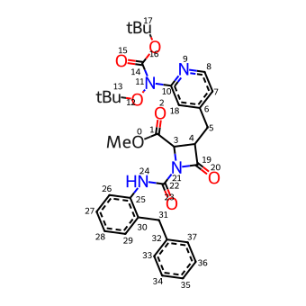 COC(=O)C1C(Cc2ccnc(N(OC(C)(C)C)C(=O)OC(C)(C)C)c2)C(=O)N1C(=O)Nc1ccccc1Cc1ccccc1